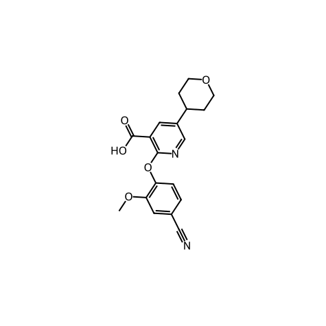 COc1cc(C#N)ccc1Oc1ncc(C2CCOCC2)cc1C(=O)O